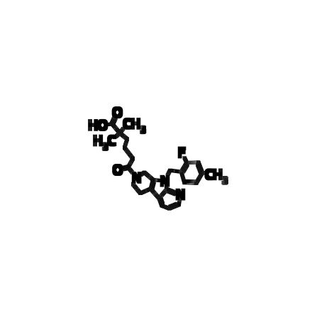 Cc1ccc(Cn2c3c(c4cccnc42)CCN(C(=O)CCCC(C)(C)C(=O)O)C3)c(F)c1